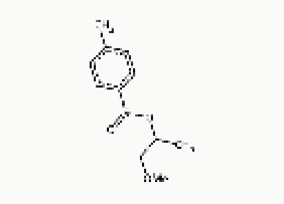 COCC(C)OS(=O)c1ccc(C)cc1